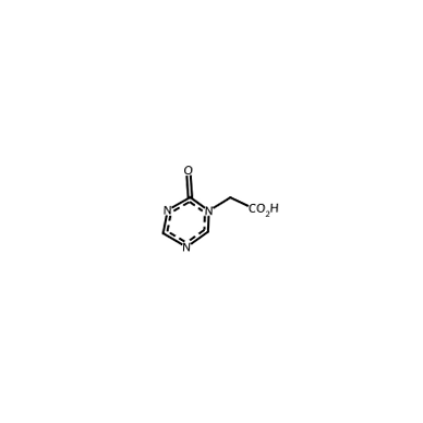 O=C(O)Cn1cncnc1=O